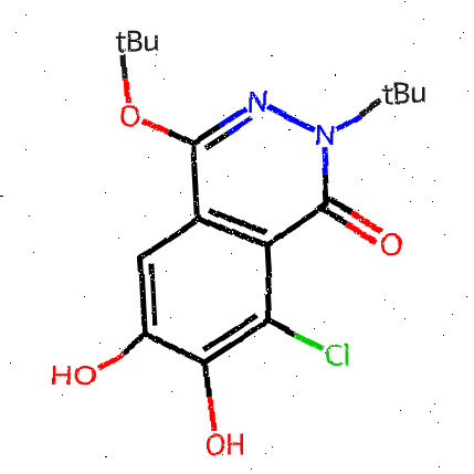 CC(C)(C)Oc1nn(C(C)(C)C)c(=O)c2c(Cl)c(O)c(O)cc12